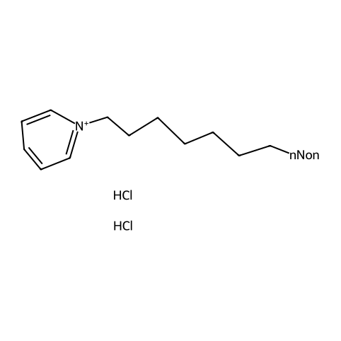 CCCCCCCCCCCCCCCC[n+]1ccccc1.Cl.Cl